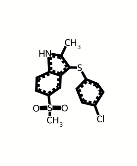 Cc1[nH]c2ccc(S(C)(=O)=O)cc2c1Sc1ccc(Cl)cc1